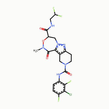 CN1OC(C(=O)NCC(F)F)Cn2nc3c(c2C1=O)CN(C(=O)Nc1ccc(F)c(Cl)c1F)CC3